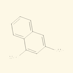 COc1cc(S[13CH3])cc2ccccc12